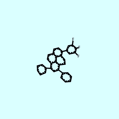 Fc1cc(-c2ccc3ccc4c(-c5ccccc5)cc(-c5ccccc5)c5ccc2c3c45)cc(F)c1F